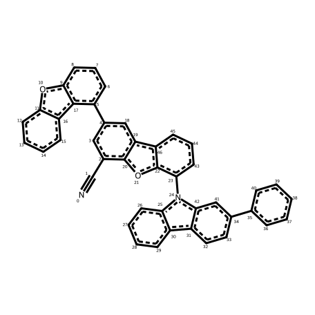 N#Cc1cc(-c2cccc3oc4ccccc4c23)cc2c1oc1c(-n3c4ccccc4c4ccc(-c5ccccc5)cc43)cccc12